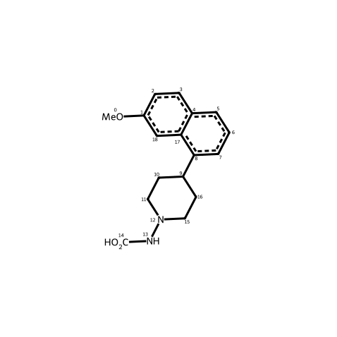 COc1ccc2cccc(C3CCN(NC(=O)O)CC3)c2c1